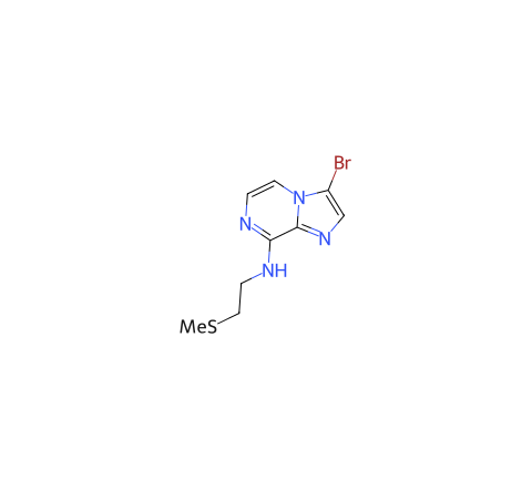 CSCCNc1nccn2c(Br)cnc12